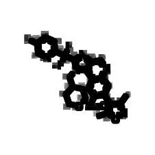 COc1cc2c(cc1-c1c(C)noc1C)ncc1nc(C(F)(F)c3ccc(F)cn3)n(CC3CCOCC3)c12